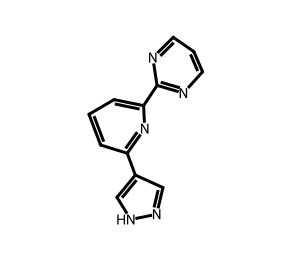 c1cnc(-c2cccc(-c3cn[nH]c3)n2)nc1